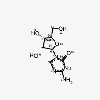 Cl.Nc1ncn([C@H]2C[C@H](O)[C@@H](CO)O2)c(=O)n1